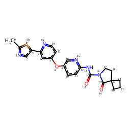 Cc1ncc(-c2cc(Oc3ccc(NC(=O)N4CCC5(CCC5)C4=O)nc3)ccn2)s1